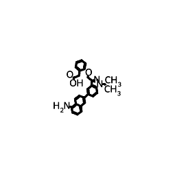 CC(C)n1nc(COc2ccccc2CC(=O)O)c2cc(-c3ccc4c(N)cccc4c3)ccc21